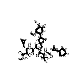 CNC(=O)C(=O)[C@H](CC1CC1)NC(=O)[C@@H]1C[C@]2(CC(c3cc(Cl)c(OC)cc3OC)=NO2)CN1C(=O)[C@@H](NC(=O)[C@@H]1CC1c1ccccc1)C(C)(C)C